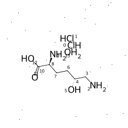 Cl.Cl.NC[C@H](O)CC[C@H](N)C(=O)O.O